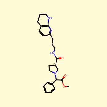 COC(=O)C(c1ccccc1)N1CC[C@@H](C(=O)NCCCc2ccc3c(n2)NCCC3)C1